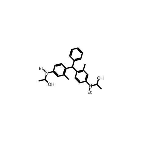 CCN(c1ccc(C(c2ccccc2)c2ccc(N(CC)C(C)O)cc2C)c(C)c1)C(C)O